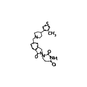 Cc1cscc1C1CCN(Cc2ccc3c(c2)CN(N2CCC(=O)NC2=O)C3=O)CC1